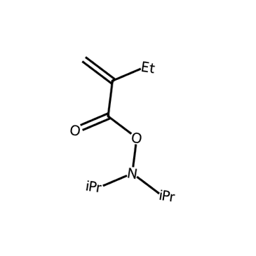 C=C(CC)C(=O)ON(C(C)C)C(C)C